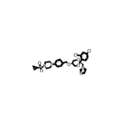 O=S(=O)(C1CC1)N1CCN(c2ccc(CO[C@H]3CO[C@@](Cn4ccnc4)(c4ccc(Cl)cc4Cl)OC3)cc2)CC1